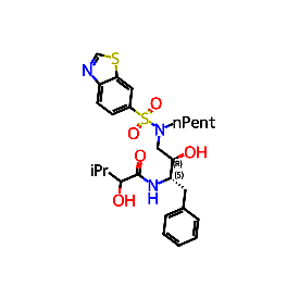 CCCCCN(C[C@@H](O)[C@H](Cc1ccccc1)NC(=O)C(O)C(C)C)S(=O)(=O)c1ccc2ncsc2c1